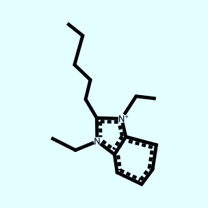 CCCCCc1n(CC)c2ccccc2[n+]1CC